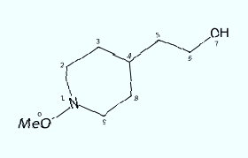 CON1CCC(CCO)CC1